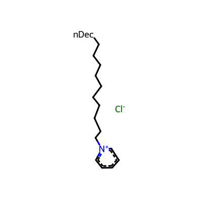 CCCCCCCCCCCCCCCCCCCC[n+]1ccccc1.[Cl-]